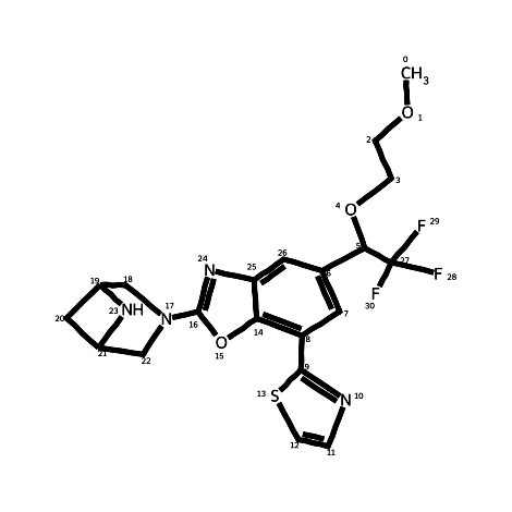 COCCOC(c1cc(-c2nccs2)c2oc(N3CC4CC(C3)N4)nc2c1)C(F)(F)F